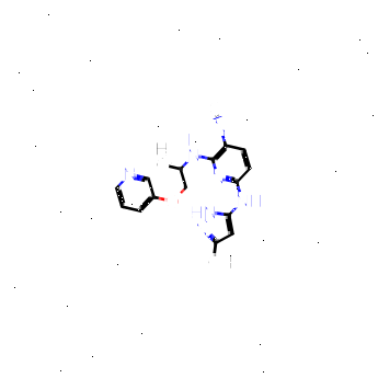 [C-]#[N+]c1ccc(Nc2cc(C)n[nH]2)nc1NC(C)COc1cccnc1